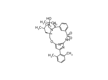 Cc1cccc(C)c1-c1cc2nc(n1)NS(=O)(=O)c1cccc(c1)C(=O)N(CC(C)(C)O)[C@H](CC(C)C)CO2